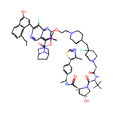 CCc1cccc2cc(O)cc(-c3ncc4c(N5CC6CCC(C5)N6C(=O)OC(C)(C)C)nc(OCCN5CCC(CC6(F)CCN(CC(=O)NC(C(=O)N7C[C@H](O)C[C@H]7C(=O)NC(C)c7ccc(-c8scnc8C)cc7)C(C)(C)C)CC6)CC5)nc4c3F)c12